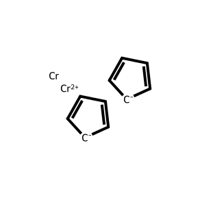 [Cr+2].[Cr].c1cc[cH-]c1.c1cc[cH-]c1